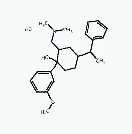 COc1cccc(C2(O)CCC(C(C)c3ccccc3)CC2CN(C)C)c1.Cl